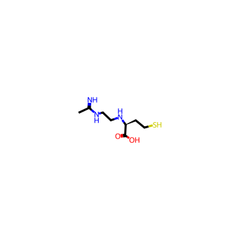 CC(=N)NCCN[C@@H](CCS)C(=O)O